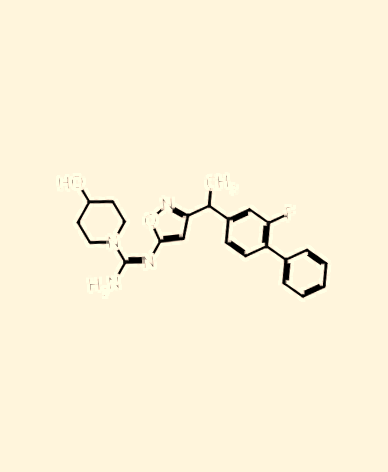 CC(c1ccc(-c2ccccc2)c(F)c1)c1cc(/N=C(/N)N2CCC(O)CC2)on1